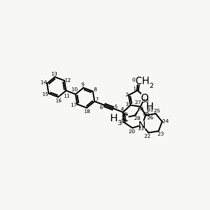 C=C1C=C2C(C#Cc3ccc(-c4ccccc4)cc3)=CCN3CCCC[C@@H]3[C@@]2(CC)O1